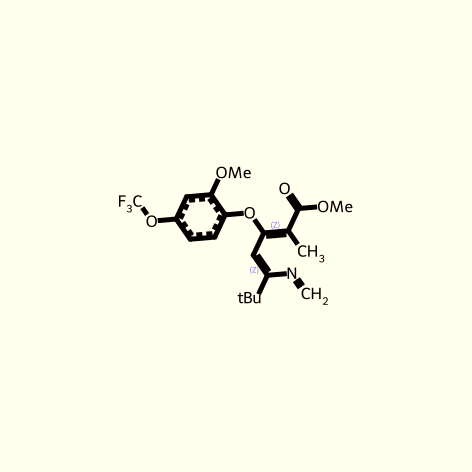 C=N/C(=C\C(Oc1ccc(OC(F)(F)F)cc1OC)=C(/C)C(=O)OC)C(C)(C)C